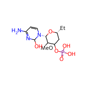 CC[C@@H]1CC(OP(=O)(O)O)C(OC)[C@H](N2C=CC(N)=NC2O)O1